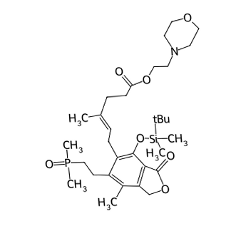 C/C(=C\Cc1c(CCP(C)(C)=O)c(C)c2c(c1O[Si](C)(C)C(C)(C)C)C(=O)OC2)CCC(=O)OCCN1CCOCC1